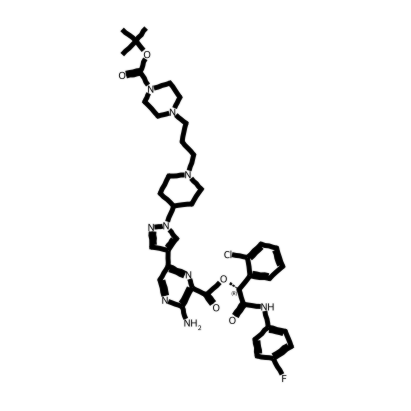 CC(C)(C)OC(=O)N1CCN(CCCN2CCC(n3cc(-c4cnc(N)c(C(=O)O[C@@H](C(=O)Nc5ccc(F)cc5)c5ccccc5Cl)n4)cn3)CC2)CC1